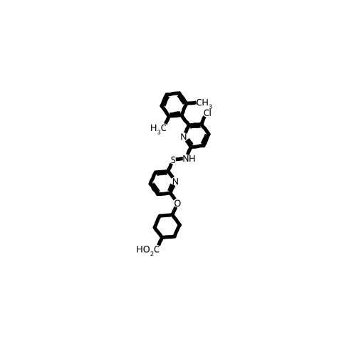 Cc1cccc(C)c1-c1nc(NSc2cccc(OC3CCC(C(=O)O)CC3)n2)ccc1Cl